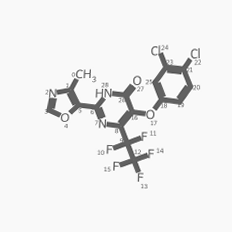 Cc1ncoc1-c1nc(C(F)(F)C(F)(F)F)c(Oc2ccc(Cl)c(Cl)c2)c(=O)[nH]1